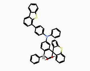 c1ccc(N(c2ccc(-c3cccc4c3sc3ccccc34)cc2)c2ccc3c(c2)C2(c4ccccc4Sc4ccccc42)c2ccccc2[SiH]3c2ccccc2)cc1